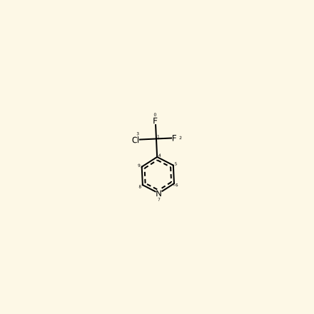 FC(F)(Cl)c1c[c]ncc1